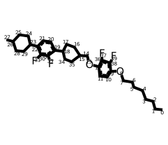 CCCCCCCCOc1ccc(OCC2CCC(c3ccc(C4CCC(C)CC4)c(F)c3F)CC2)c(F)c1F